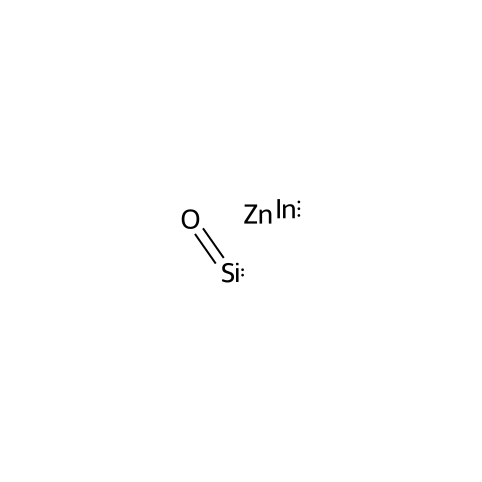 O=[Si].[In].[Zn]